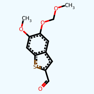 COCOc1cc2cc(C=O)sc2cc1OC